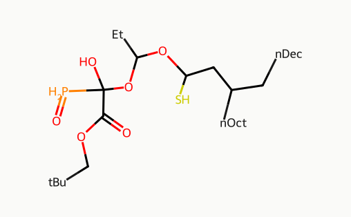 CCCCCCCCCCCC(CCCCCCCC)CC(S)OC(CC)OC(O)([PH2]=O)C(=O)OCC(C)(C)C